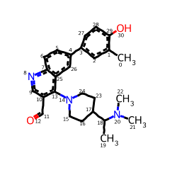 Cc1cc(-c2ccc3ncc(C=O)c(N4CCC(C(C)N(C)C)CC4)c3c2)ccc1O